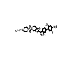 CCc1cc(O)c(F)cc1-c1ccc2c(-c3nc4c([nH]3)CCN(S(=O)(=O)N3CCN(C=O)CC3)C4)n[nH]c2c1